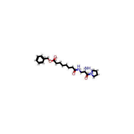 N[C@@H](CNC(=O)CCCCCCC(=O)OCc1ccccc1)C(=O)N1CCCC1